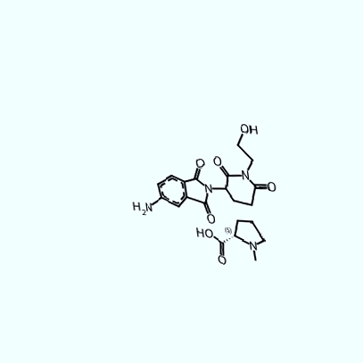 CN1CCC[C@H]1C(=O)O.Nc1ccc2c(c1)C(=O)N(C1CCC(=O)N(CCO)C1=O)C2=O